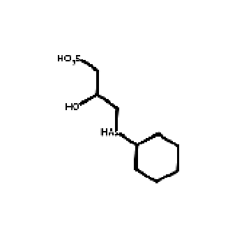 O=S(=O)(O)CC(O)C[AsH]C1CCCCC1